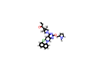 C=CC(=O)C1[C@H]2CN(c3nc(OCC4CCCN4C)nc4c3CCN(c3cccc5cccc(Cl)c35)C4)C[C@@H]12